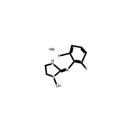 Br.ON1CCNC1=Nc1c(F)cccc1F